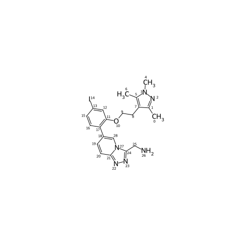 Cc1nn(C)c(C)c1CCOc1cc(I)ccc1-c1ccc2nnc(CN)n2c1